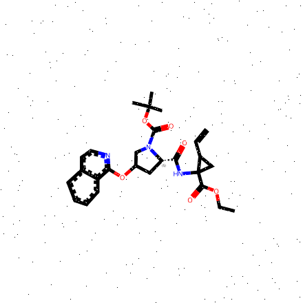 C=CC1CC1(NC(=O)[C@@H]1CC(Oc2nccc3ccccc23)CN1C(=O)OC(C)(C)C)C(=O)OCC